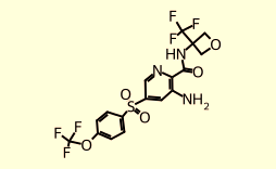 Nc1cc(S(=O)(=O)c2ccc(OC(F)(F)F)cc2)cnc1C(=O)NC1(C(F)(F)F)COC1